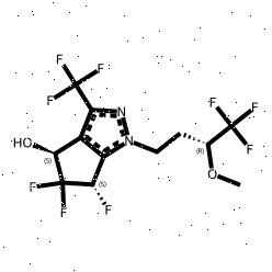 CO[C@H](CCn1nc(C(F)(F)F)c2c1[C@H](F)C(F)(F)[C@H]2O)C(F)(F)F